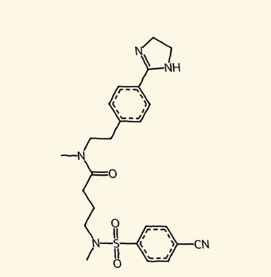 CN(CCc1ccc(C2=NCCN2)cc1)C(=O)CCCN(C)S(=O)(=O)c1ccc(C#N)cc1